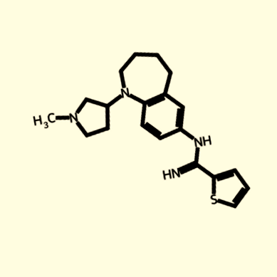 CN1CCC(N2CCCCc3cc(NC(=N)c4cccs4)ccc32)C1